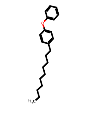 CCCCCCCCCCc1ccc(Oc2ccccc2)cc1